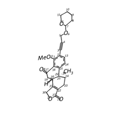 COc1c(C#CCOC2CCCCO2)ccc2c1C(=O)C[C@H]1C3=C(CC[C@]21C)C(=O)OC3